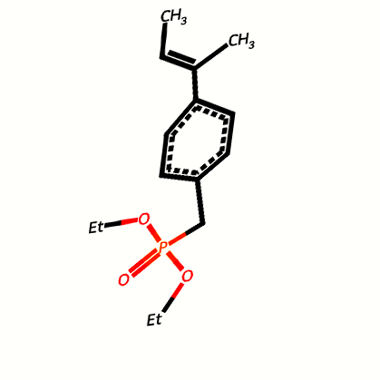 CC=C(C)c1ccc(CP(=O)(OCC)OCC)cc1